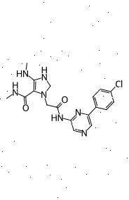 CNC(=O)C1=C(NC)NCN1CC(=O)Nc1cncc(-c2ccc(Cl)cc2)n1